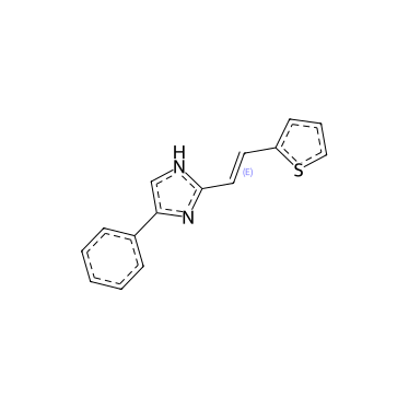 C(=C\c1cccs1)/c1nc(-c2ccccc2)c[nH]1